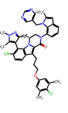 Cc1cc(OCCCc2c3n(c4c(-c5c(C)nn(C)c5C)c(Cl)ccc24)[C@H](C)CN(c2cccc4cc(C(=O)O)n(Cc5cncnc5)c24)C3=O)cc(C)c1Cl